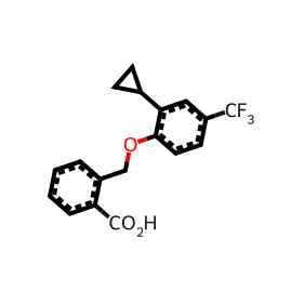 O=C(O)c1ccccc1COc1ccc(C(F)(F)F)cc1C1CC1